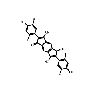 N#CC1=C(c2cc(F)c(C#N)cc2F)C(=O)c2cc3c(cc21)C(O)C(c1cc(F)c(C#N)cc1F)=C3C#N